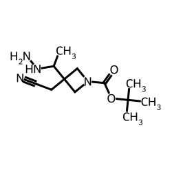 CC(NN)C1(CC#N)CN(C(=O)OC(C)(C)C)C1